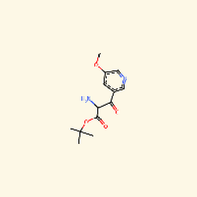 COc1cncc(C(=O)C(N)C(=O)OC(C)(C)C)c1